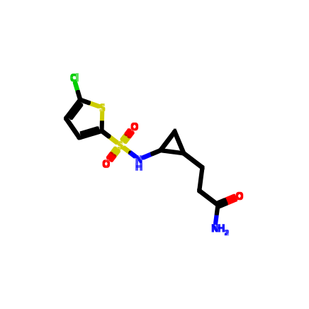 NC(=O)CCC1CC1NS(=O)(=O)c1ccc(Cl)s1